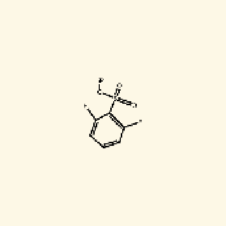 CC(C)OS(=O)(=O)c1c(F)cccc1F